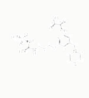 N=C(NCCCOc1cccc(CN2CCCCC2)c1)NS(N)(=O)=O.O=C(O)C(=O)O